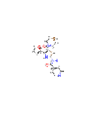 O=C(Nc1nc(-c2ccco2)c([N+]2([O-])CCSCC2)s1)c1ccncc1